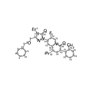 CCn1c(COCc2ccccc2)nn(-c2cc3c(C(C)C)cc(-c4ccccc4C)c(=O)n3cc2F)c1=O